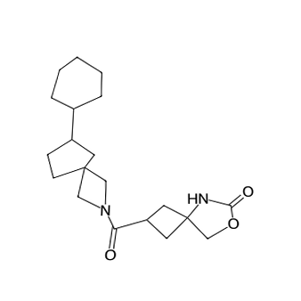 O=C1NC2(CO1)CC(C(=O)N1CC3(CCC(C4CCCCC4)C3)C1)C2